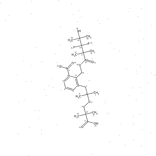 CC(C)(Cc1cccc([N+](=O)[O-])c1COC(=O)C(C)(C)C(F)(F)C(C)(C)S)OCC(C)(C)C(=O)O